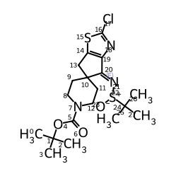 CC(C)(C)OC(=O)N1CCC2(CC1)Cc1sc(Cl)nc1/C2=N/[S+]([O-])C(C)(C)C